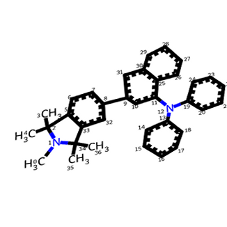 CN1C(C)(C)c2ccc(-c3cc(N(c4ccccc4)c4ccccc4)c4ccccc4c3)cc2C1(C)C